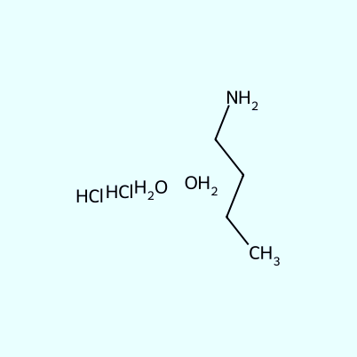 CCCCN.Cl.Cl.O.O